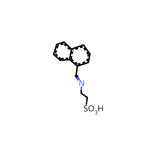 O=S(=O)(O)CCN=Cc1cccc2ccccc12